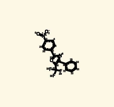 O=[N+]([O-])c1ccc(-c2nc(-c3ccccc3)c(C(F)(F)F)o2)cc1